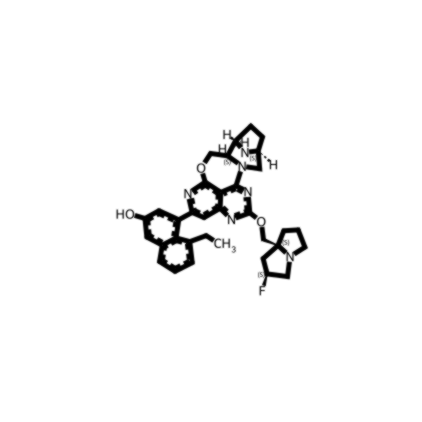 CCc1cccc2cc(O)cc(-c3cc4nc(OC[C@@]56CCCN5C[C@@H](F)C6)nc5c4c(n3)OC[C@@H]3[C@H]4CC[C@@H](CN53)N4)c12